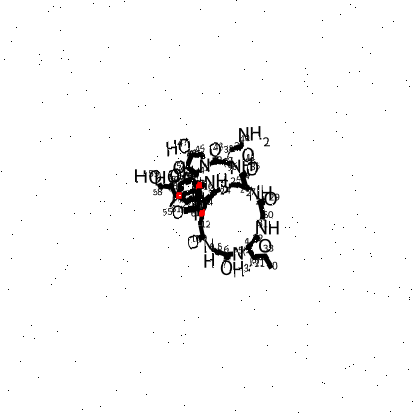 CC[C@H](C)[C@@H]1NC(=O)CNC(=O)C2Cc3c([nH]c4cc(O)ccc34)SCC(NC(=O)CNC1=O)C(=O)N[C@@H](CC(N)=O)C(=O)N1C[C@H](O)C[C@]1(C=O)N[C@@H]([C@@H](C)[C@@H](O)CO)C(=O)N2